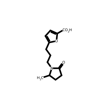 CC1CCC(=O)N1CCCc1ccc(C(=O)O)o1